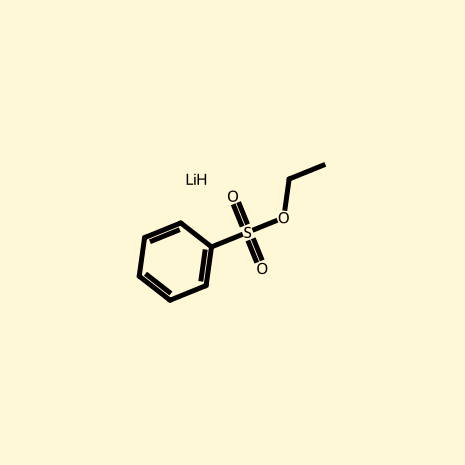 CCOS(=O)(=O)c1ccccc1.[LiH]